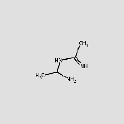 CC(=N)NC(C)N